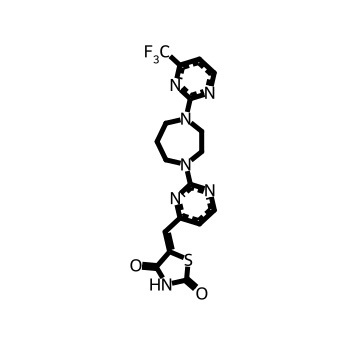 O=C1NC(=O)/C(=C/c2ccnc(N3CCCN(c4nccc(C(F)(F)F)n4)CC3)n2)S1